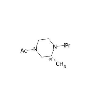 CC(=O)N1CCN(C(C)C)[C@H](C)C1